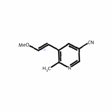 CO/C=C/c1cc(C#N)cnc1C